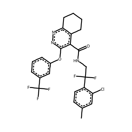 Cc1ccc(C(F)(F)CNC(=O)c2c(Oc3cccc(C(F)(F)F)c3)nnc3c2CCCC3)c(Cl)c1